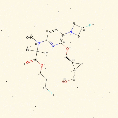 CCC(CC)(C(=O)OCCCF)N(C=O)c1ccc(N2CC(F)C2)c(OC[C@H]2C[C@@H]2CO)n1